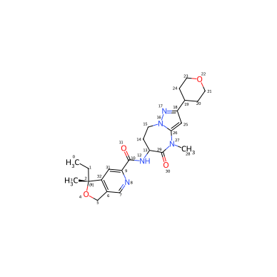 CC[C@@]1(C)OCc2cnc(C(=O)NC3CCn4nc(C5CCOCC5)cc4N(C)C3=O)cc21